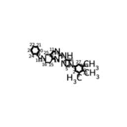 Cc1cc(-n2cnc(Nc3ncc4c(n3)CCN(Cc3ccccc3)C4)c2)cc(C)c1C